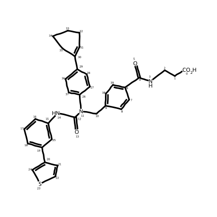 O=C(O)CCNC(=O)c1ccc(CN(C(=O)Nc2cccc(-c3ccsc3)c2)c2ccc(C3=CCCCC3)cc2)cc1